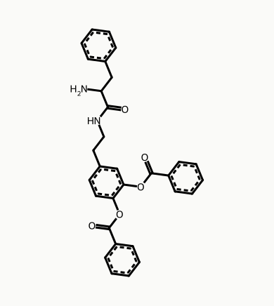 NC(Cc1ccccc1)C(=O)NCCc1ccc(OC(=O)c2ccccc2)c(OC(=O)c2ccccc2)c1